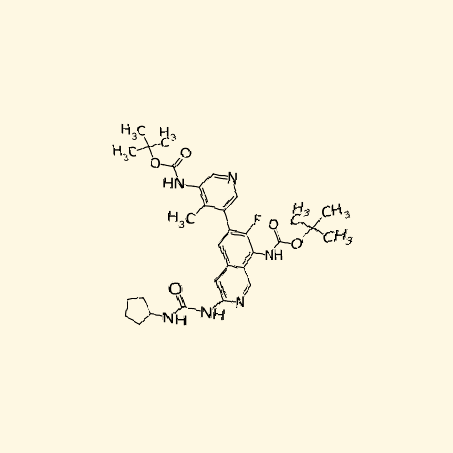 Cc1c(NC(=O)OC(C)(C)C)cncc1-c1cc2cc(NC(=O)NC3CCCC3)ncc2c(NC(=O)OC(C)(C)C)c1F